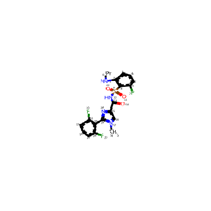 CC(C)Nc1cccc(F)c1S(=O)(=O)NC(=O)c1cn(C)c(-c2c(F)cccc2F)n1